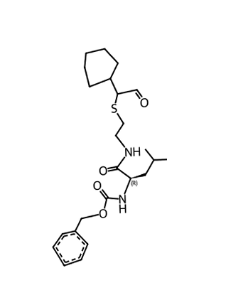 CC(C)C[C@@H](NC(=O)OCc1ccccc1)C(=O)NCCSC(C=O)C1CCCCC1